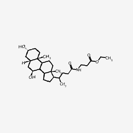 CCOC(=O)CCNC(=O)CCC(C)C1CCC2C3C(CC[C@]12C)[C@@]1(C)CC[C@@H](O)C[C@H]1C[C@@H]3O